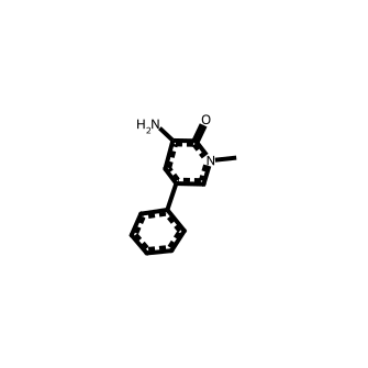 Cn1cc(-c2ccccc2)cc(N)c1=O